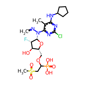 C=NN(c1nc(Cl)nc(NC2CCCC2)c1C)[C@@H]1O[C@H](COC(CS(C)(=O)=O)P(=O)(O)O)[C@@H](O)[C@@H]1F